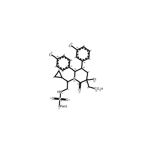 CCCCCS(=O)(=O)NCC(C1CC1)N1C(=O)C(CC)(CC(=O)O)CC(c2cccc(Cl)c2)C1c1ccc(Cl)cc1